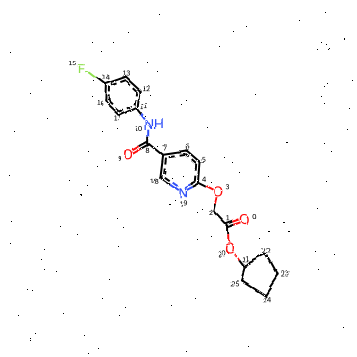 O=C(COc1ccc(C(=O)Nc2ccc(F)cc2)cn1)OC1CCCC1